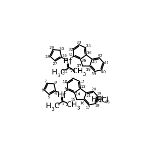 C[C](C)=[Hf]([C]1=CC=CC1)[c]1cccc2c1Cc1ccccc1-2.C[C](C)=[Hf]([C]1=CC=CC1)[c]1cccc2c1Cc1ccccc1-2.Cl.Cl